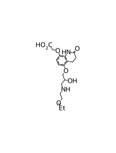 CCOCCNCC(O)COc1ccc(OCC(=O)O)c2c1CCC(=O)N2